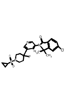 CC1(C)c2cc(Cl)ccc2C(=O)N1c1cncc(C2(F)CCN(S(=O)(=O)C3CC3)CC2)c1